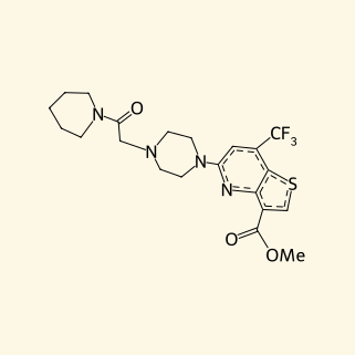 COC(=O)c1csc2c(C(F)(F)F)cc(N3CCN(CC(=O)N4CCCCC4)CC3)nc12